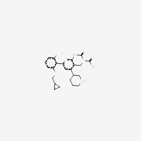 NC(=O)N1Cc2c(C3CCCNC3)cc(-c3c(O)cccc3OCC3CC3)nc2NC1=O